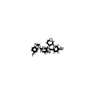 Fc1ccc2ncn(-c3ncc4nc(-c5ccc(Br)cn5)n(C5CCOCC5)c4n3)c2c1